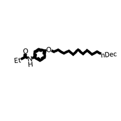 CCCCCCCCCCCCCCCCCCCCOc1ccc(NC(=O)CC)cc1